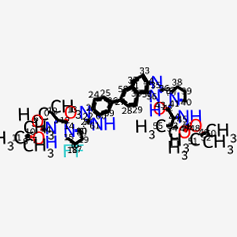 CC(C)C(NC(=O)OC(C)(C)C)C(=O)N1CC(F)(F)C[C@H]1c1nc2ccc(-c3ccc4c(ccc5nc([C@@H]6CCCN6C(=O)C(NC(=O)OC(C)(C)C)C(C)C)[nH]c54)c3)cc2[nH]1